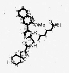 CCC(=O)CCCCC[C@H](NC(=O)C1=NOC2(CCNCC2)C1)c1ncc(-c2cc3ccccc3nc2OC)[nH]1